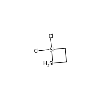 Cl[Si]1(Cl)CC[SiH2]1